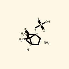 CC1(C)[C@H]2CC[C@]1(CS(=O)(=O)O)C(=O)C2.N